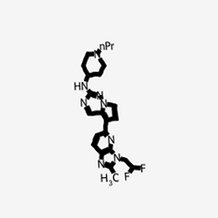 CCCN1CCC(Nc2ncc3c(-c4ccc5nc(C)n(CC(F)F)c5n4)ccn3n2)CC1